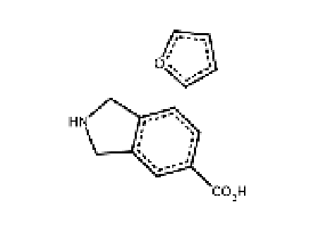 O=C(O)c1ccc2c(c1)CNC2.c1ccoc1